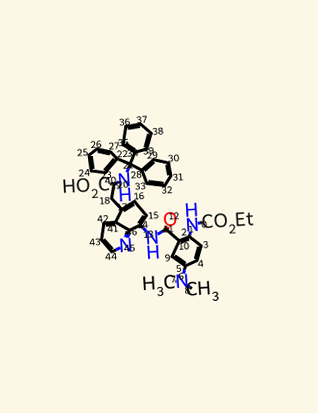 CCOC(=O)Nc1ccc(N(C)C)cc1C(=O)Nc1ccc(CC(NC(c2ccccc2)(c2ccccc2)c2ccccc2)C(=O)O)c2cccnc12